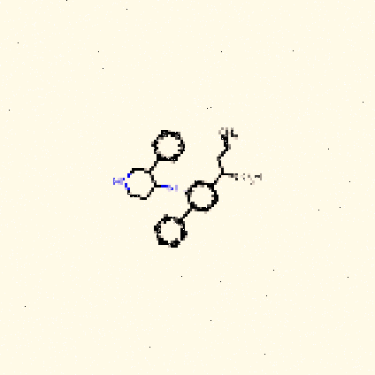 C=CCC(C(=O)O)c1ccc(-c2ccccc2)cc1.NC1CCNCC1c1ccccc1